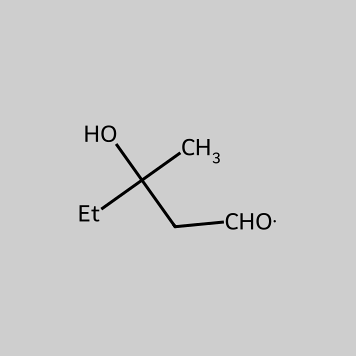 CCC(C)(O)C[C]=O